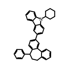 c1ccc(C2CCc3ccccc3-c3cc(-c4ccc5c(c4)c4ccccc4n5C4CCCCC4)ccc32)cc1